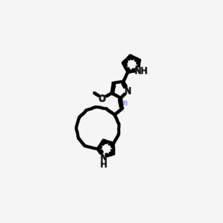 COC1=CC(c2ccc[nH]2)=N/C1=C/C1CCCCCCCc2cc(c[nH]2)CC1